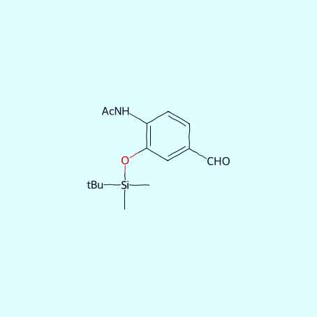 CC(=O)Nc1ccc(C=O)cc1O[Si](C)(C)C(C)(C)C